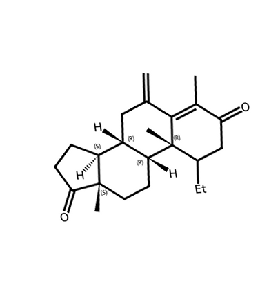 C=C1C[C@@H]2[C@@H](CC[C@]3(C)C(=O)CC[C@@H]23)[C@]2(C)C1=C(C)C(=O)CC2CC